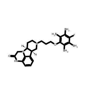 Bc1c(B)c(OCCCN2CC[C@H]3[C@@H](C2)c2cccc4c2N3CC(=O)N4)c(B)c(B)c1F